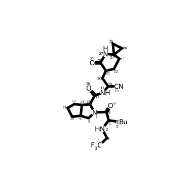 CC(C)(C)C(NCC(F)(F)F)C(=O)N1CC2CCCC2C1C(=O)NC(C#N)CC1CCC2(CC2)NC1=O